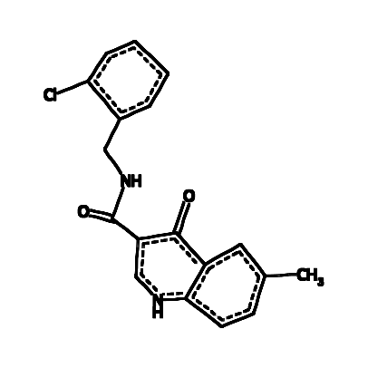 Cc1ccc2[nH]cc(C(=O)NCc3ccccc3Cl)c(=O)c2c1